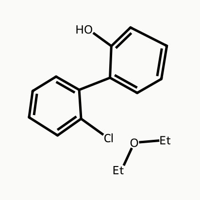 CCOCC.Oc1ccccc1-c1ccccc1Cl